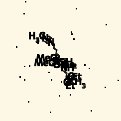 CCO[Si](C)(CCCNC[SiH2]C(CCCCCN1CCN(C)CC1)[Si](OC)(OC)OC)OCC